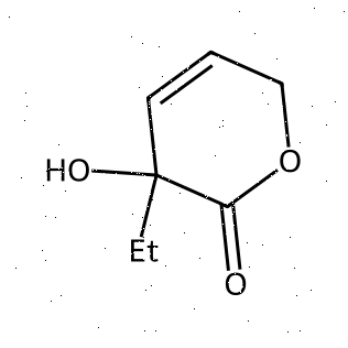 CCC1(O)C=CCOC1=O